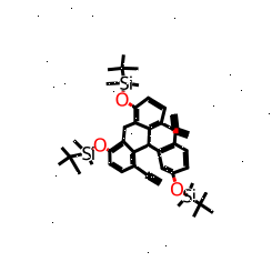 C#Cc1ccc(O[Si](C)(C)C(C)(C)C)cc1C1c2c(C#C)ccc(O[Si](C)(C)C(C)(C)C)c2Cc2c(O[Si](C)(C)C(C)(C)C)ccc(C#C)c21